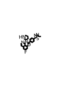 Cc1nnc(-c2ccc(C(=O)N(c3nccc4cc(F)cc(C)c34)C3CCCNC3)cc2)s1